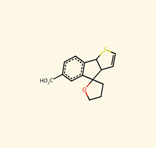 O=C(O)c1ccc2c(c1)C1(CCCO1)C1C=CSC21